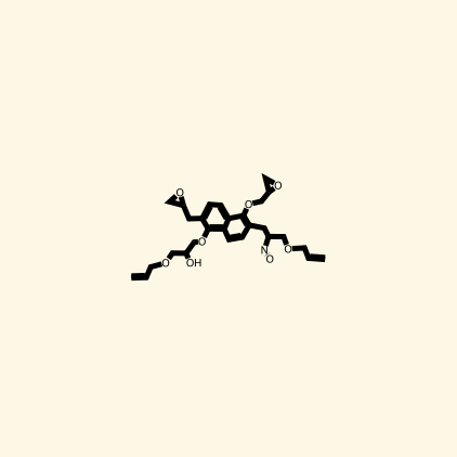 C=CCOCC(O)COc1c(CC2CO2)ccc2c(OCC3CO3)c(CC(COCC=C)N=O)ccc12